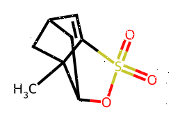 CC12CC3C=C1S(=O)(=O)OC2C3